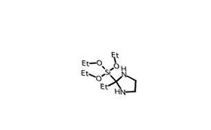 CCO[Si](OCC)(OCC)C1(CC)NCCN1